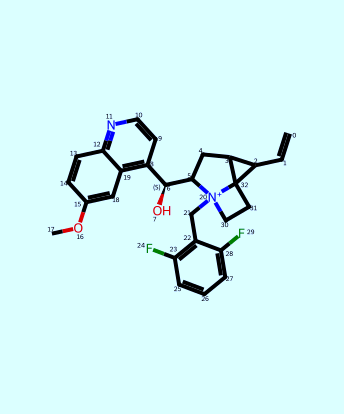 C=CC1C2CC([C@@H](O)c3ccnc4ccc(OC)cc34)[N+]3(Cc4c(F)cccc4F)CCC123